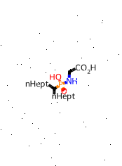 CCCCCCCC(CCCCCCC)P(=O)(O)NCC(=O)O